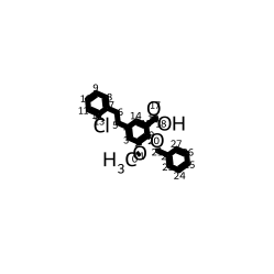 COc1cc(CCc2ccccc2Cl)cc(C(=O)O)c1OCc1ccccc1